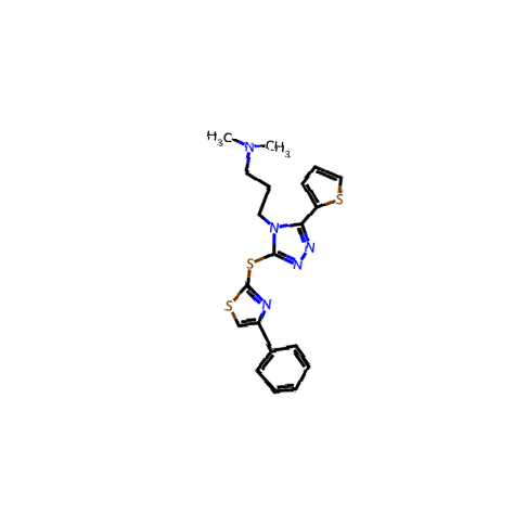 CN(C)CCCn1c(Sc2nc(-c3ccccc3)cs2)nnc1-c1cccs1